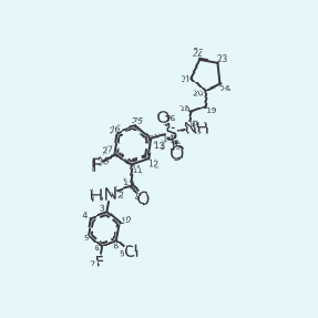 O=C(Nc1ccc(F)c(Cl)c1)c1cc(S(=O)(=O)NCCC2CCCC2)ccc1F